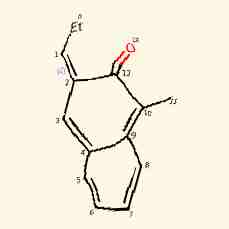 CC/C=C1/C=c2ccccc2=C(C)C1=O